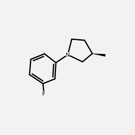 C[C@@H]1CCN(c2[c]ccc(F)c2)C1